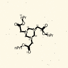 CCCOC(=O)CN1CN(CC(=O)OCCC)CN(CC(=O)OCCC)C1